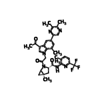 CC(=O)c1cn(CC(=O)N2C3C[C@]3(C)C[C@H]2C(=O)Nc2nc(C(F)(F)F)ccc2C)c2c(C)cc(-c3cnc(C)c(C)n3)cc12